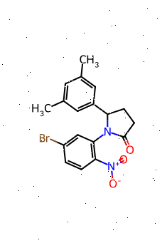 Cc1cc(C)cc(C2CCC(=O)N2c2cc(Br)ccc2[N+](=O)[O-])c1